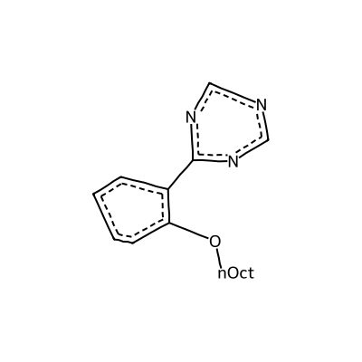 CCCCCCCCOc1ccccc1-c1ncncn1